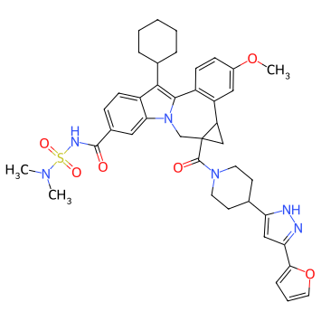 COc1ccc2c(c1)C1CC1(C(=O)N1CCC(c3cc(-c4ccco4)n[nH]3)CC1)Cn1c-2c(C2CCCCC2)c2ccc(C(=O)NS(=O)(=O)N(C)C)cc21